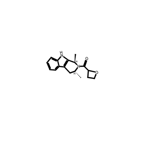 C[C@@H]1Cc2c([nH]c3ccccc23)[C@@H](C)N1C(=O)C1CCO1